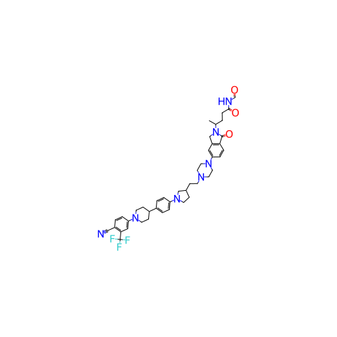 CC(CCC(=O)NC=O)N1Cc2cc(N3CCN(CCC4CCN(c5ccc(C6CCN(c7ccc(C#N)c(C(F)(F)F)c7)CC6)cc5)C4)CC3)ccc2C1=O